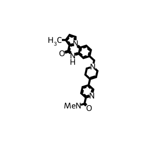 CNC(=O)c1ccc(C2=CCN(Cc3ccc4c(c3)[nH]c(=O)c3c(C)ccn34)CC2)cn1